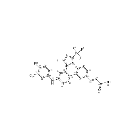 Cc1cc(C(F)(F)F)nn1-c1nc(Nc2ccc(F)c(Cl)c2)ncc1-c1cccc(C=CC(=O)O)c1